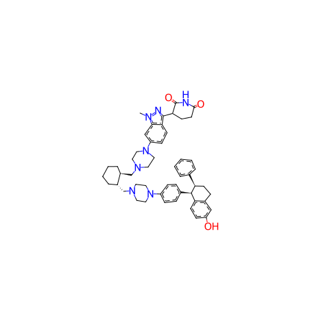 Cn1nc(C2CCC(=O)NC2=O)c2ccc(N3CCN(C[C@@H]4CCCC[C@H]4CN4CCN(c5ccc([C@@H]6c7ccc(O)cc7CC[C@@H]6c6ccccc6)cc5)CC4)CC3)cc21